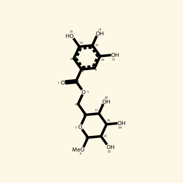 COC1OC(COC(=O)c2cc(O)c(O)c(O)c2)C(O)C(O)C1O